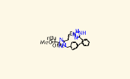 CC/C=C/c1nc(C(CCCC)(OC)OC)nn1Cc1ccc(-c2ccccc2-c2nnn[nH]2)cc1